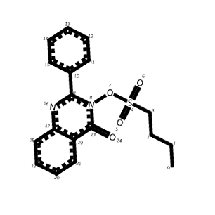 CCCCS(=O)(=O)On1c(-c2ccccc2)nc2ccccc2c1=O